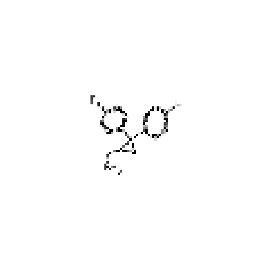 NCC1CC1(c1ccc(F)cc1)c1ccc(F)cc1